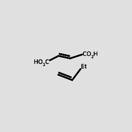 C=CCC.O=C(O)C=CC(=O)O